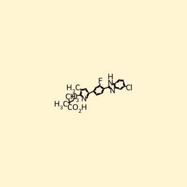 Cc1cc(-c2ccc(-c3nc4cc(Cl)ccc4[nH]3)c(F)c2)cnc1OCC(C)(C)C(=O)O